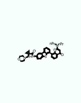 CCCN(CCC)c1cc(=O)c2cccc(-c3cccc4c3sc3ccc(NC(=O)C5(CN6CCOCC6)CC5)cc34)c2o1